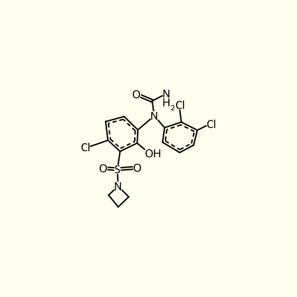 NC(=O)N(c1ccc(Cl)c(S(=O)(=O)N2CCC2)c1O)c1cccc(Cl)c1Cl